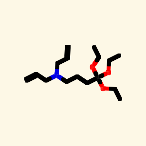 C=CCN(CC=C)CCC[Si](OCC)(OCC)OCC